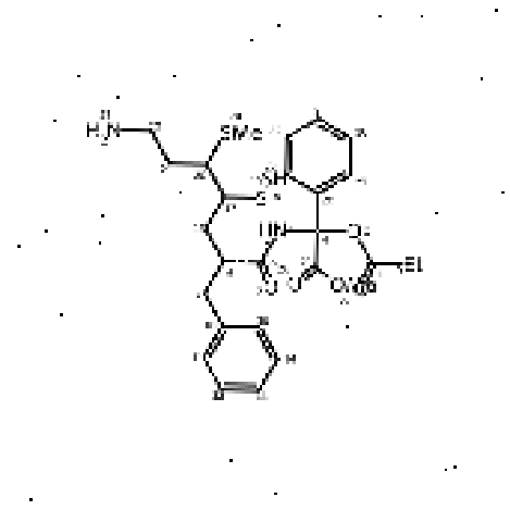 CCC(=O)OC(NC(=O)C(Cc1ccccc1)CC(SS)C(CCN)SC)(C(=O)OC)c1ccccc1